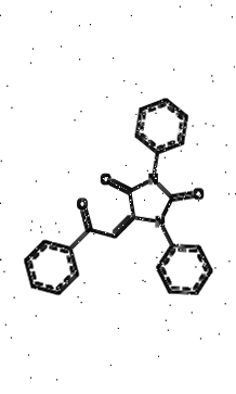 O=C(C=C1C(=O)N(c2ccccc2)C(=O)N1c1ccccc1)c1ccccc1